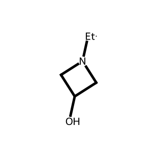 C[CH]N1CC(O)C1